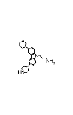 NCCCn1c2ccc(C3=CCCCC3)cc2c2cc(C3=CCNCC3)ccc21